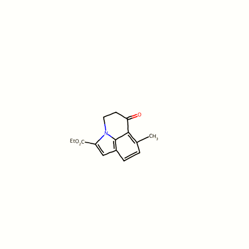 CCOC(=O)c1cc2ccc(C)c3c2n1CCC3=O